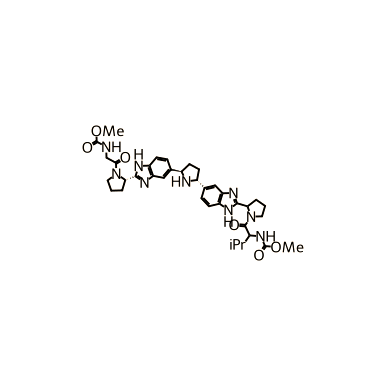 COC(=O)NCC(=O)N1CCC[C@H]1c1nc2cc([C@H]3CC[C@H](c4ccc5[nH]c(C6CCCN6C(=O)C(NC(=O)OC)C(C)C)nc5c4)N3)ccc2[nH]1